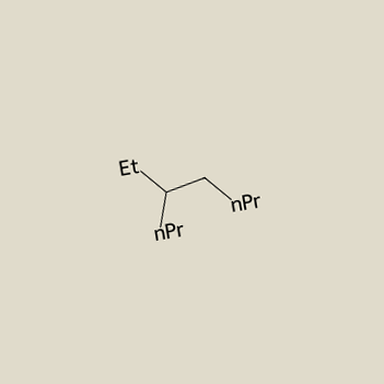 [CH2]CC(CCC)CCCC